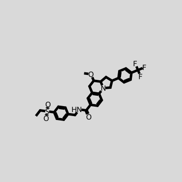 CCS(=O)(=O)c1ccc(CNC(=O)c2ccc3c(c2)CC(OC)C2CC(c4ccc(C(F)(F)F)cc4)CN32)cc1